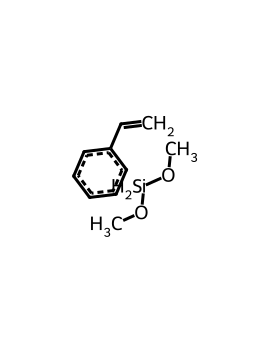 C=Cc1ccccc1.CO[SiH2]OC